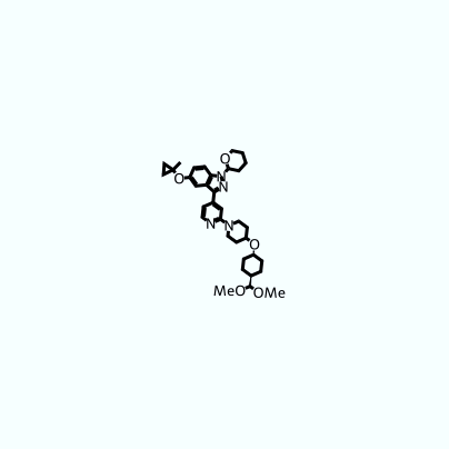 COC(OC)[C@H]1CC[C@H](OC2CCN(c3cc(-c4nn(C5CCCCO5)c5ccc(OC6(C)CC6)cc45)ccn3)CC2)CC1